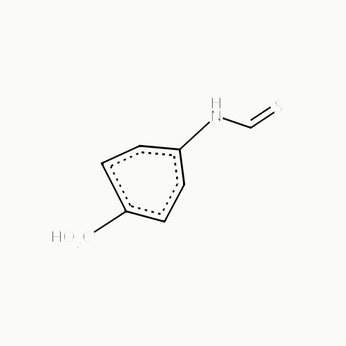 O=C(O)c1ccc(NC=S)cc1